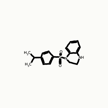 CC(C)c1ccc(S(=O)(=O)N2CCNc3ccccc32)cc1